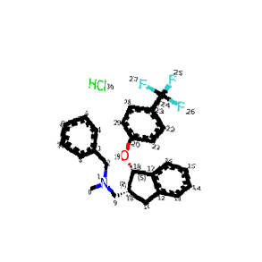 CN(Cc1ccccc1)C[C@H]1Cc2ccccc2[C@H]1Oc1ccc(C(F)(F)F)cc1.Cl